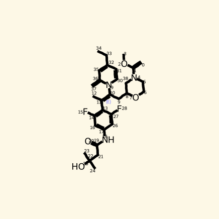 C=C(OC)N1CCOC(C/C(=C(/C)c2c(F)cc(NC(=O)CC(C)(C)O)cc2F)N2C=CC(CC)=CC2=C)C1